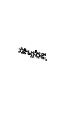 CC(O)c1ccc(-c2ccc(OCc3nc4ccccc4s3)cc2)c(F)c1